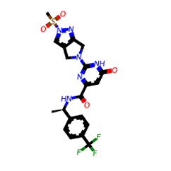 C[C@@H](NC(=O)c1cc(=O)[nH]c(N2Cc3cn(S(C)(=O)=O)nc3C2)n1)c1ccc(C(F)(F)F)cc1